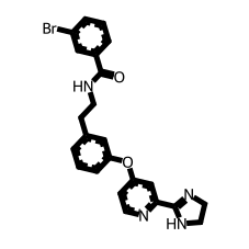 O=C(NCCc1cccc(Oc2ccnc(C3=NCCN3)c2)c1)c1cccc(Br)c1